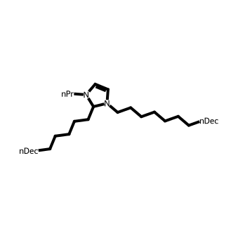 CCCCCCCCCCCCCCCCCN1C=CN(CCC)C1CCCCCCCCCCCCCCC